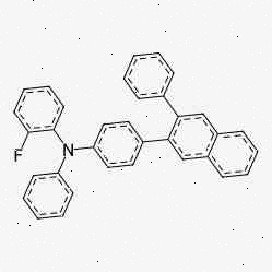 Fc1ccccc1N(c1ccccc1)c1ccc(-c2cc3ccccc3cc2-c2ccccc2)cc1